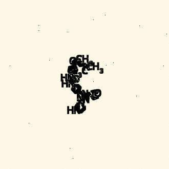 CN(C)CCN(C)C(=O)c1ccc(NC(=O)Nc2ccc(-c3nc(N4CCCNCC4)nc(N4CCOCC4)n3)cc2)cc1